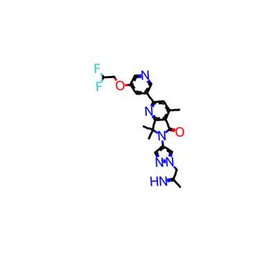 CC(=N)Cn1cc(N2C(=O)c3c(C)cc(-c4cncc(OCC(F)F)c4)nc3C2(C)C)cn1